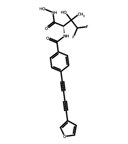 CC(O)(C(F)F)[C@H](NC(=O)c1ccc(C#CC#Cc2ccoc2)cc1)C(=O)NO